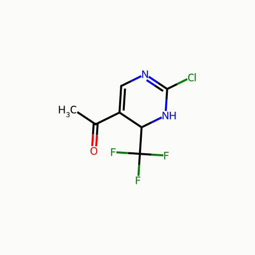 CC(=O)C1=CN=C(Cl)NC1C(F)(F)F